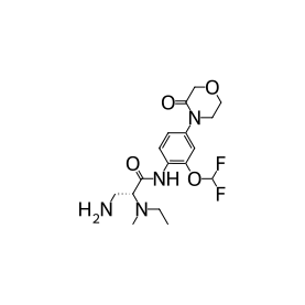 CCN(C)[C@H](CN)C(=O)Nc1ccc(N2CCOCC2=O)cc1OC(F)F